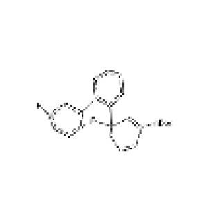 CCCCCCCCCCC1=CC(F)(c2ccccc2-c2cccc(F)c2)CC=C1